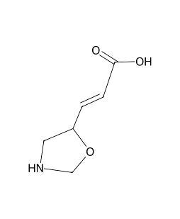 O=C(O)C=CC1CNCO1